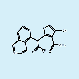 COC(=O)c1c(C#N)csc1C(C(N)=O)c1cccc2cnccc12